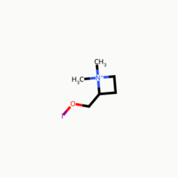 C[N+]1(C)CCC1COI